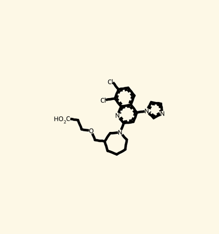 O=C(O)CCOCC1CCCCN(c2cc(-n3ccnc3)c3ccc(Cl)c(Cl)c3n2)C1